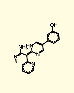 C/N=C(N)\C(=C1\N=CC(c2cccc(O)c2)=CN1)c1ccccn1